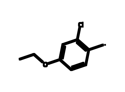 [CH2]c1ccc(OCC)cc1Cl